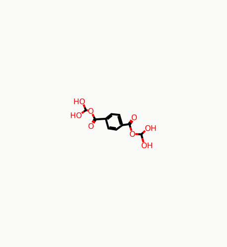 O=C(OC(O)O)c1ccc(C(=O)OC(O)O)cc1